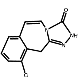 O=c1[nH]nc2n1C=Cc1cccc(Cl)c1C2